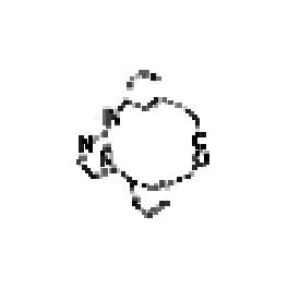 c1cc2cc(c1)Nc1nccc(n1)-c1cccc(c1)COCCC2